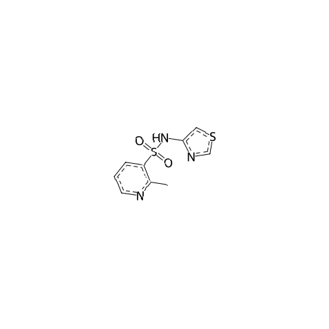 Cc1ncccc1S(=O)(=O)Nc1cscn1